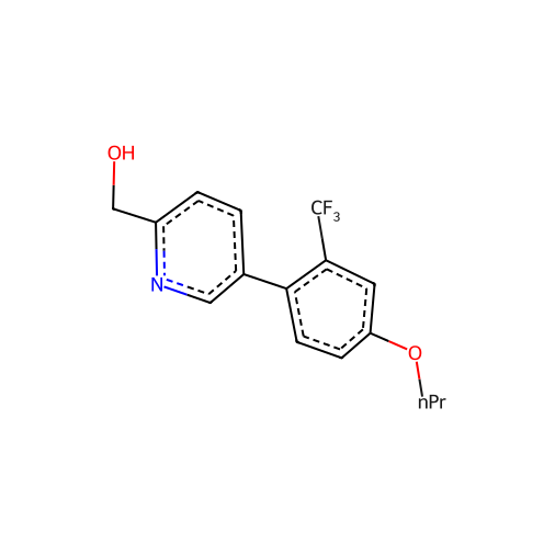 CCCOc1ccc(-c2ccc(CO)nc2)c(C(F)(F)F)c1